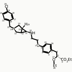 CCOC(=O)[C@@H](Cc1ccc(OCCN[C@H]2C3CN(Cc4ccc(Cl)cc4)C[C@@H]32)cc1)OCC